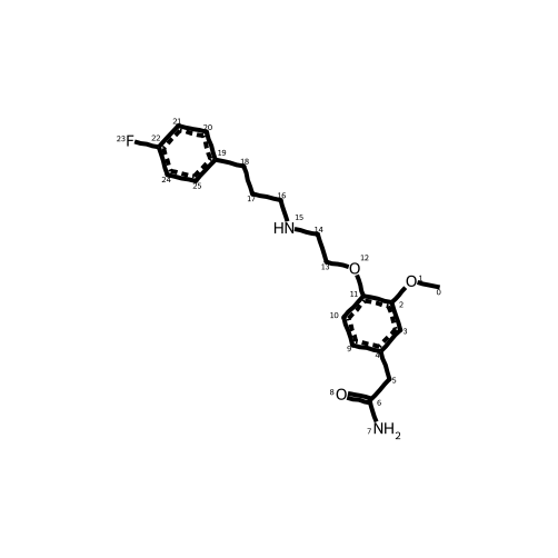 COc1cc(CC(N)=O)ccc1OCCNCCCc1ccc(F)cc1